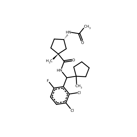 CC(=O)N[C@H]1CC[C@@](C)(C(=O)NC(c2c(F)ccc(Cl)c2Cl)C2(C)CCCC2)C1